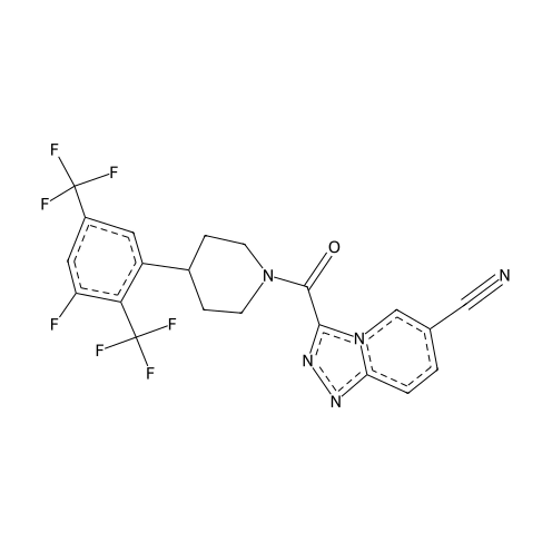 N#Cc1ccc2nnc(C(=O)N3CCC(c4cc(C(F)(F)F)cc(F)c4C(F)(F)F)CC3)n2c1